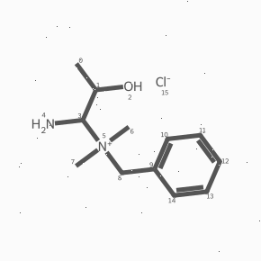 CC(O)C(N)[N+](C)(C)Cc1ccccc1.[Cl-]